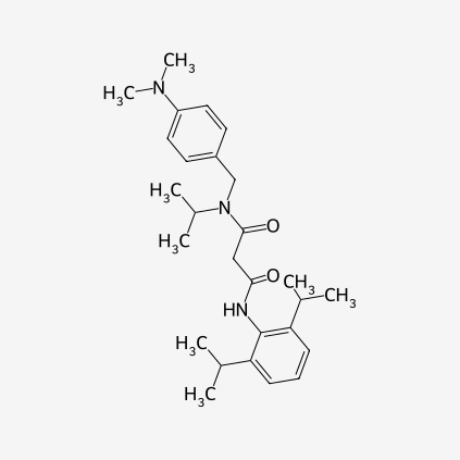 CC(C)c1cccc(C(C)C)c1NC(=O)CC(=O)N(Cc1ccc(N(C)C)cc1)C(C)C